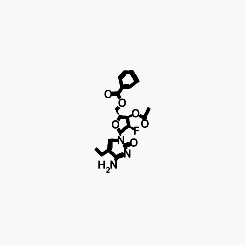 CCc1cn([C@@H]2O[C@H](COC(=O)c3ccccc3)[C@@H](OC(C)=O)[C@H]2F)c(=O)nc1N